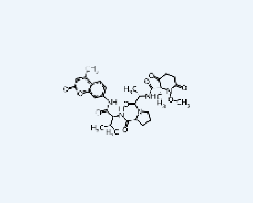 CON1C(=O)CCC(=O)[C@]1(C)C(=O)N[C@@H](C)C(=O)N1CCC[C@H]1C(=O)N[C@H](C(=O)Nc1ccc2c(C)cc(=O)oc2c1)C(C)C